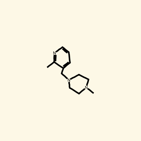 Cc1ncccc1CN1CCN(C)CC1